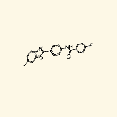 Cc1ccc2nc(-c3ccc(NC(=O)c4ccc(F)cc4)cc3)sc2c1